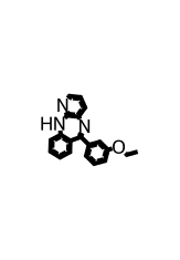 CCOc1cccc(C2=Nc3cccnc3Nc3ccccc32)c1